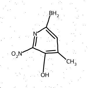 Bc1cc(C)c(O)c([N+](=O)[O-])n1